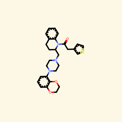 O=C(Cc1ccsc1)N1c2ccccc2CCC1CN1CCN(c2cccc3c2OCCO3)CC1